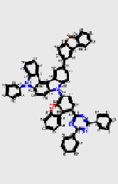 c1ccc(-c2nc(-c3ccccc3)nc(-c3ccc(-n4c5ccc(-c6ccc7sc8ccccc8c7c6)cc5c5c6c7ccccc7n(-c7ccccc7)c6ccc54)c4oc5ccccc5c34)n2)cc1